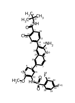 COc1ncc(-c2ccc3nc(N)c(-c4ccc(C(=O)NC(C)(C)C)c(Cl)c4)cc3c2)cc1NS(=O)(=O)c1ccc(F)cc1F